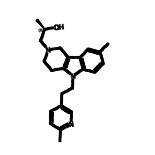 Cc1ccc2c(c1)c1c(n2CCc2ccc(C)nc2)CCN(C[C@@H](C)O)C1